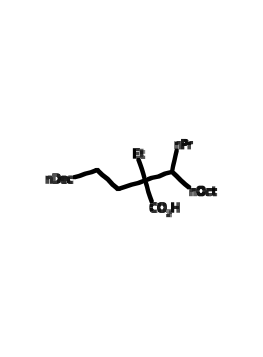 CCCCCCCCCCCCC(CC)(C(=O)O)C(CCC)CCCCCCCC